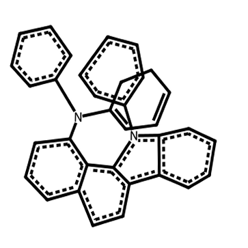 C1=CCCC(N(c2ccccc2)c2cccc3ccc4c5ccccc5n(-c5ccccc5)c4c23)=C1